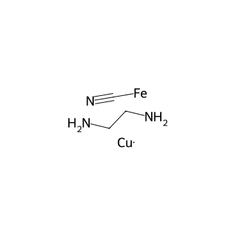 N#[C][Fe].NCCN.[Cu]